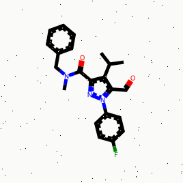 CC(C)c1c(C(=O)N(C)Cc2ccccc2)nn(-c2ccc(F)cc2)c1C=O